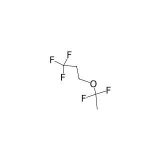 CC(F)(F)OCCC(F)(F)F